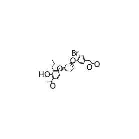 CCCc1c(O[C@H]2CCC[C@@H](Oc3ccc(CC(=O)OC)cc3Br)C2)ccc(C(C)=O)c1O